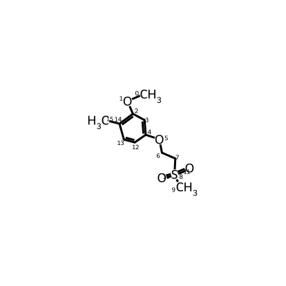 COc1cc(OCCS(C)(=O)=O)ccc1C